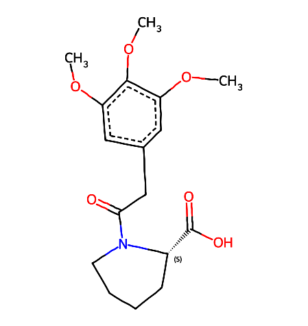 COc1cc(CC(=O)N2CCCC[C@H]2C(=O)O)cc(OC)c1OC